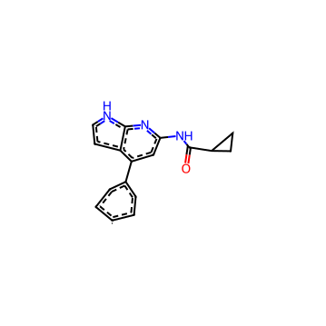 O=C(Nc1cc(-c2cc[c]cc2)c2cc[nH]c2n1)C1CC1